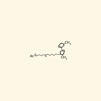 CC(=O)SCCCCSCCCCCCc1cc(-c2cc(C)ccn2)ncc1C